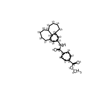 COC(=O)c1ccc(C(=O)Nc2cc3c4c(c2)CCCCC4CCCC3)cc1